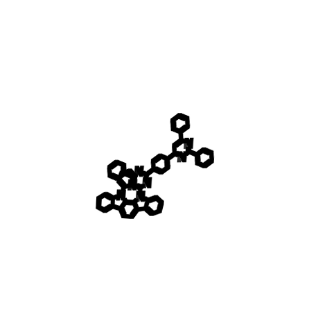 c1ccc(-c2cc(-c3ccc(-c4nc(-c5ccccc5)nc(-n5c6ccccc6c6ccc7c8ccccc8n(-c8ccccc8)c7c65)n4)cc3)nc(-c3ccccc3)n2)cc1